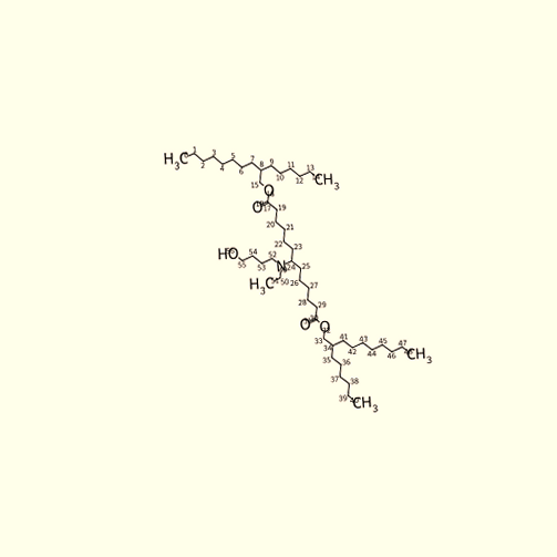 CCCCCCCCC(CCCCCC)COC(=O)CCCCCC(CCCCCC(=O)OCC(CCCCCC)CCCCCCCC)N(CC)CCCCO